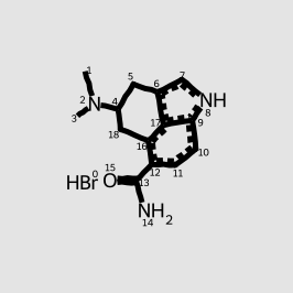 Br.CN(C)C1Cc2c[nH]c3ccc(C(N)=O)c(c23)C1